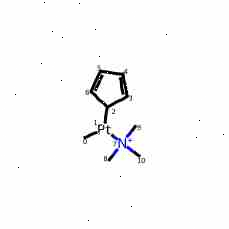 [CH3][Pt]([CH]1C=CC=C1)[N+](C)(C)C